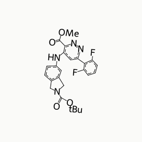 COC(=O)c1nnc(-c2c(F)cccc2F)cc1Nc1ccc2c(c1)CN(C(=O)OC(C)(C)C)C2